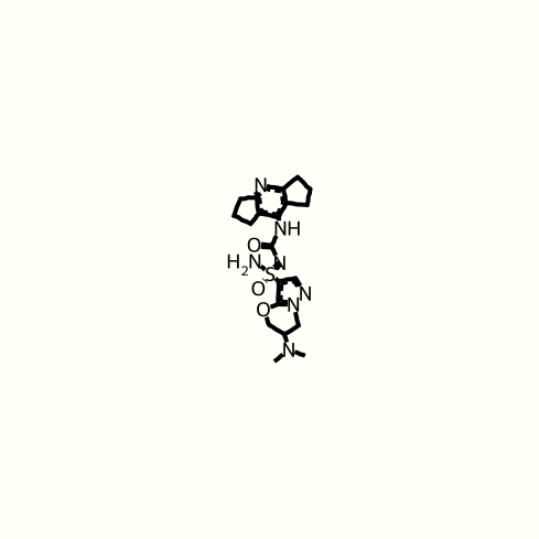 CN(C)C1COc2c(S(N)(=O)=NC(=O)Nc3c4c(nc5c3CCC5)CCC4)cnn2C1